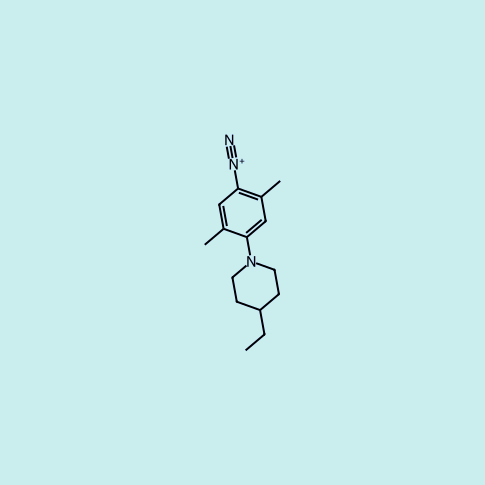 CCC1CCN(c2cc(C)c([N+]#N)cc2C)CC1